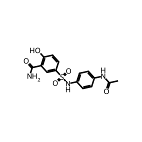 CC(=O)Nc1ccc(NS(=O)(=O)c2ccc(O)c(C(N)=O)c2)cc1